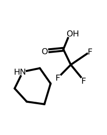 C1CCNCC1.O=C(O)C(F)(F)F